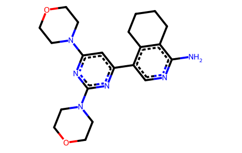 Nc1ncc(-c2cc(N3CCOCC3)nc(N3CCOCC3)n2)c2c1CCCC2